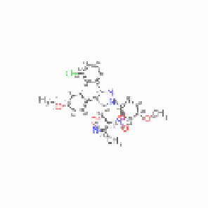 COc1ccc(C2C(c3cccc(Cl)c3)=NN(c3ccc(OC)cc3)C2c2onc(C)c2[N+](=O)[O-])cc1